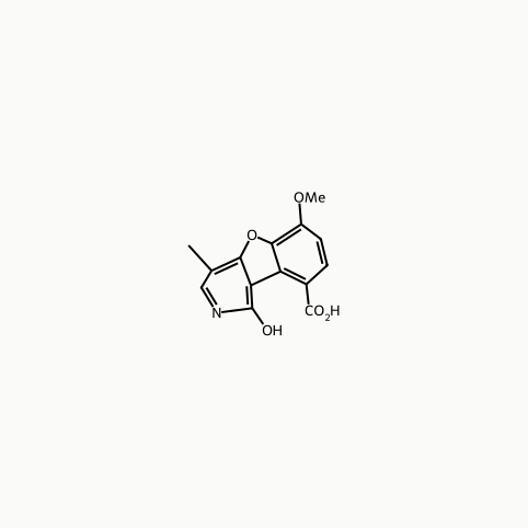 COc1ccc(C(=O)O)c2c1oc1c(C)cnc(O)c12